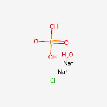 O.O=P([O-])(O)O.[Cl-].[Na+].[Na+]